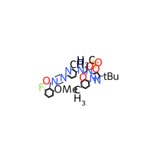 COc1cccc(F)c1C(=O)N1CCN(c2ccc(NC(=O)N(OS(C)(=O)=O)c3cc(C(C)(C)C)nn3-c3ccc(C)cc3)c(C)n2)CC1